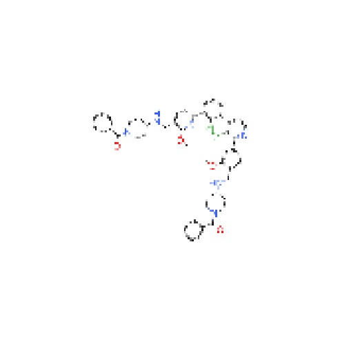 COc1cc(-c2nccc(-c3cccc(-c4ccc(CNC5CCN(C(=O)c6ccccc6)CC5)c(OC)n4)c3Cl)c2Cl)ccc1CNC1CCN(C(=O)c2ccccc2)CC1